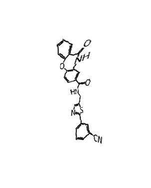 N#Cc1cccc(-c2ncc(CNC(=O)c3ccc4c(c3)NC(=O)c3ccccc3O4)s2)c1